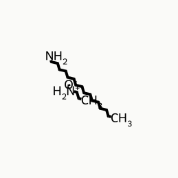 CCCCCCCCCCCCCCCCN.CCC[NH2+][O-]